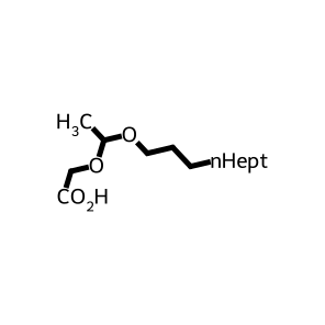 CCCCCCCCCCOC(C)OCC(=O)O